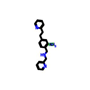 Cl.N.c1ccc(CCc2ccc(CNCc3ccccn3)cc2)nc1